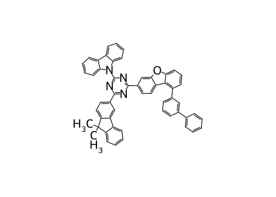 CC1(C)c2ccccc2-c2cc(-c3nc(-c4ccc5c(c4)oc4cccc(-c6cccc(-c7ccccc7)c6)c45)nc(-n4c5ccccc5c5ccccc54)n3)ccc21